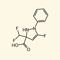 O=C(O)C1(C(F)F)C=C(F)N(c2ccccc2)N1